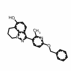 Cc1nc(OCc2ccccc2)ccc1-c1nn2c3c(c(O)ccc13)CCC2